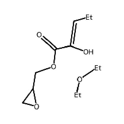 CC/C=C(\O)C(=O)OCC1CO1.CCOCC